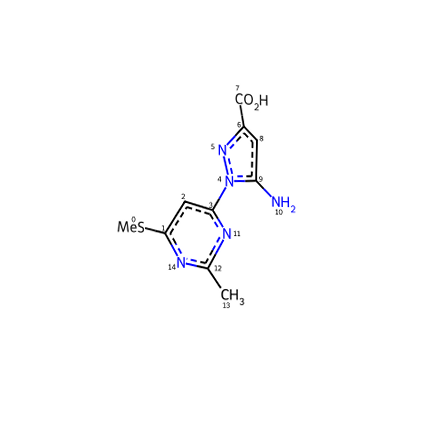 CSc1cc(-n2nc(C(=O)O)cc2N)nc(C)n1